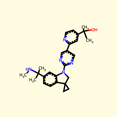 CNC(C)(C)c1ccc2c(c1)N(c1ncc(-c3cc(C(C)(C)O)ccn3)cn1)CC21CC1